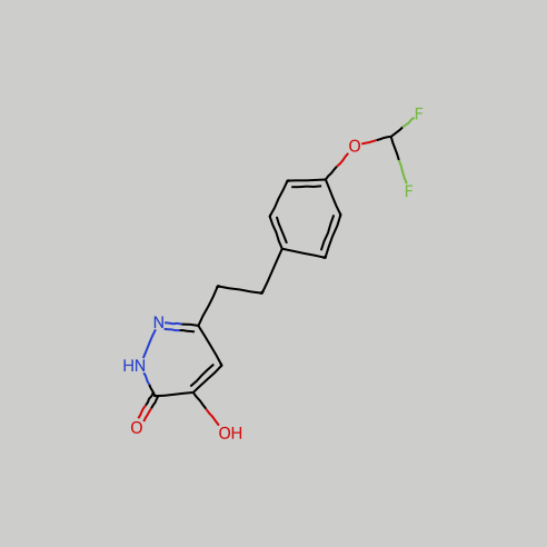 O=c1[nH]nc(CCc2ccc(OC(F)F)cc2)cc1O